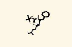 CC(C)CC/C=C/C(CC1CCCCC1)NC(=O)OC(C)(C)C